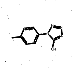 Cc1ccc(-n2nnnc2C#N)cc1